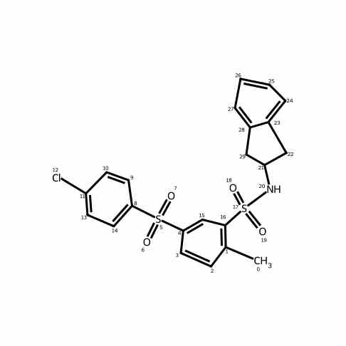 Cc1ccc(S(=O)(=O)c2ccc(Cl)cc2)cc1S(=O)(=O)NC1Cc2ccccc2C1